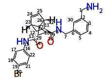 NCc1cccc(CNC(=O)[C@H]2[C@H](C(=O)Nc3ccc(Br)cc3)[C@@H]3C=C[C@H]2C32CC2)c1